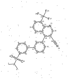 CC(C)S(=O)(=O)c1cccc(-c2cccc(-c3c(C#N)cnc4c(C(F)(F)F)cccc34)c2)c1